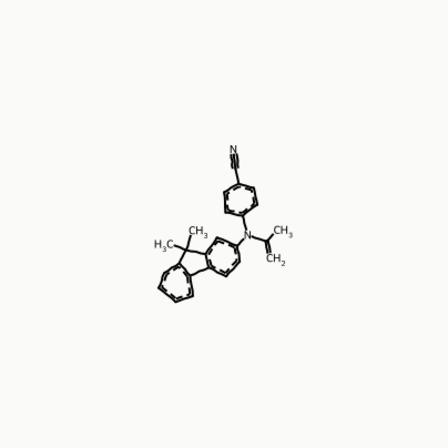 C=C(C)N(c1ccc(C#N)cc1)c1ccc2c(c1)C(C)(C)c1ccccc1-2